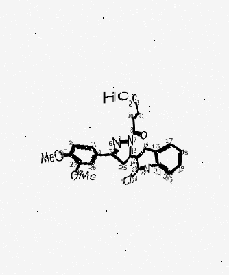 COc1ccc(C2=NN(C(=O)CCC(=O)O)C(c3cc4ccccc4nc3Cl)C2)cc1OC